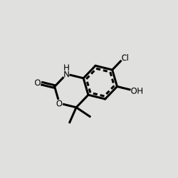 CC1(C)OC(=O)Nc2cc(Cl)c(O)cc21